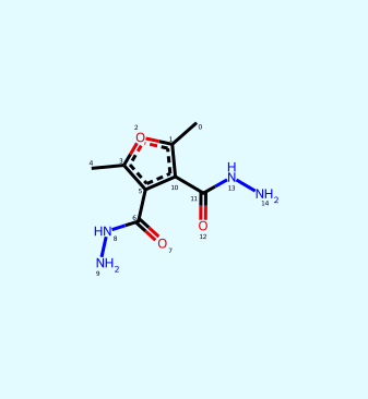 Cc1oc(C)c(C(=O)NN)c1C(=O)NN